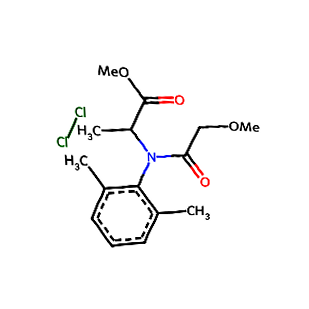 COCC(=O)N(c1c(C)cccc1C)C(C)C(=O)OC.ClCl